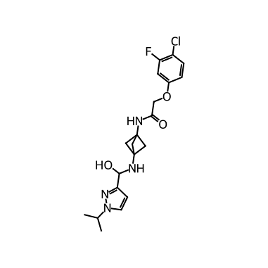 CC(C)n1ccc(C(O)NC23CC(NC(=O)COc4ccc(Cl)c(F)c4)(C2)C3)n1